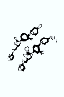 NC1CCN(c2ccc(N3CC(COc4ccon4)OC3=O)cc2F)CC1.O=C1CCN(c2ccc(N3CC(COc4ccon4)OC3=O)cc2F)CC1